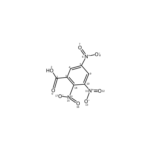 O=C(O)c1cc([N+](=O)[O-])cc([N+](=O)[O-])c1[N+](=O)[O-]